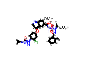 COc1cc2nccc(Oc3ccc(NC(=O)NC4CC4)c(Cl)c3)c2cc1C(=O)NP(=O)(N[C@@H](C)C(=O)O)OCc1ccccc1C